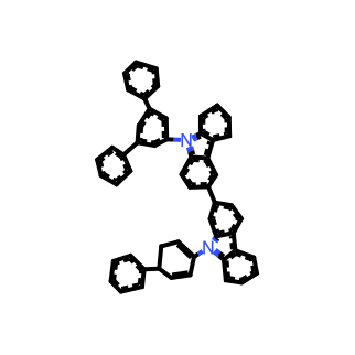 C1=CC(c2ccccc2)CC=C1n1c2ccccc2c2ccc(-c3ccc4c(c3)c3ccccc3n4-c3cc(-c4ccccc4)cc(-c4ccccc4)c3)cc21